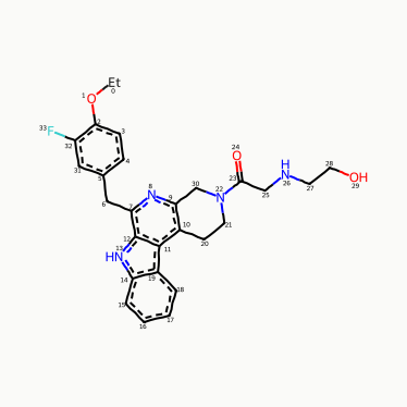 CCOc1ccc(Cc2nc3c(c4c2[nH]c2ccccc24)CCN(C(=O)CNCCO)C3)cc1F